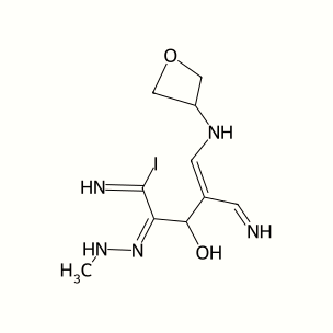 CN/N=C(\C(=N)I)C(O)/C(C=N)=C/NC1COC1